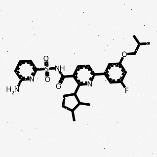 CC(C)COc1cc(F)cc(-c2ccc(C(=O)NS(=O)(=O)c3cccc(N)n3)c(C3CCC(C)C3C)n2)c1